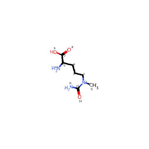 CN(CCCC(N)C(=O)O)C(N)=O